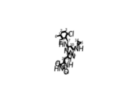 Cc1ccc(Cl)c(CNc2cc(NC3CC3)n3ncc(/C=C4\NC(=O)NC4=O)c3n2)c1F